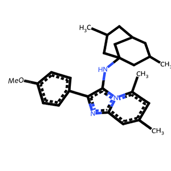 COc1ccc(-c2nc3cc(C)cc(C)n3c2NC23CC(C)CC(CC(C)C2)C3)cc1